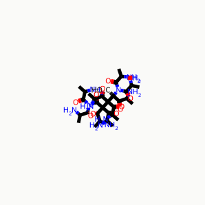 CC(N)C(=O)N(C(=O)C(C)N)C(=O)C(C(=O)C(C)N)(C(=O)C(C)N)C(C(=O)C(C)N)(C(=O)C(C)N)C(C(=O)O)(C(=O)C(C)N)N(C(=O)C(C)N)C(=O)C(C)N